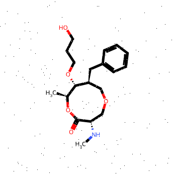 CN[C@H]1COC[C@H](Cc2ccccc2)[C@@H](OCCCO)[C@H](C)OC1=O